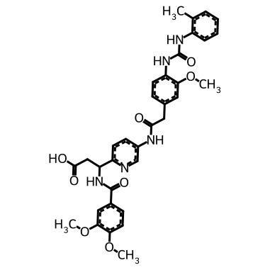 COc1cc(CC(=O)Nc2ccc(C(CC(=O)O)NC(=O)c3ccc(OC)c(OC)c3)nc2)ccc1NC(=O)Nc1ccccc1C